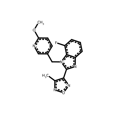 COc1ccc(Cn2c(-c3nonc3C)nc3cccc(F)c32)cn1